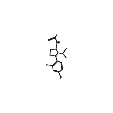 CC(=O)NC1CCN(c2ccc(F)cc2F)C1C(C)C